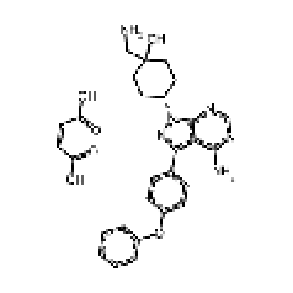 NC[C@]1(O)CC[C@H](n2nc(-c3ccc(Oc4ccccc4)cc3)c3c(N)ncnc32)CC1.O=C(O)/C=C\C(=O)O